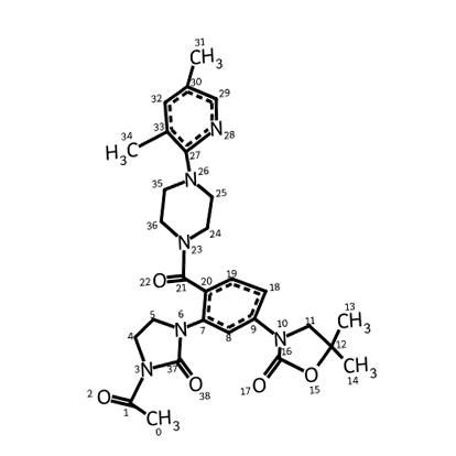 CC(=O)N1CCN(c2cc(N3CC(C)(C)OC3=O)ccc2C(=O)N2CCN(c3ncc(C)cc3C)CC2)C1=O